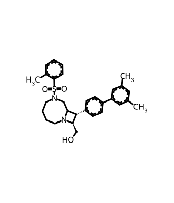 Cc1cc(C)cc(-c2ccc([C@H]3C4CN(S(=O)(=O)c5ccccc5C)CCCCN4[C@@H]3CO)cc2)c1